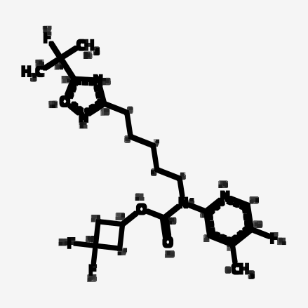 Cc1cc(N(CCCCCc2noc(C(C)(C)F)n2)C(=O)OC2CC(F)(F)C2)ncc1F